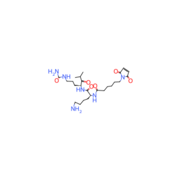 CC(C)C(=O)[C@H](CCCNC(N)=O)NC(=O)[C@H](CCCCN)NC(=O)CCCCCN1C(=O)C=CC1=O